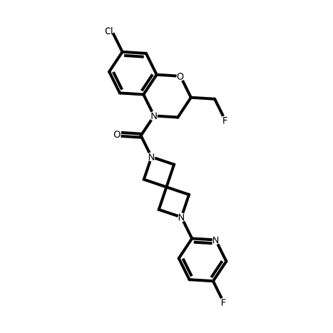 O=C(N1CC2(C1)CN(c1ccc(F)cn1)C2)N1CC(CF)Oc2cc(Cl)ccc21